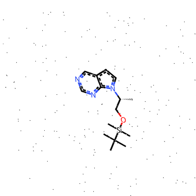 C[C@H](CO[Si](C)(C)C(C)(C)C)n1ccc2cncnc21